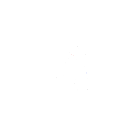 O=C(O)C(c1ccc(Cl)cc1)N1C(=O)c2cc(I)ccc2NC(=O)C1c1ccc(Cl)s1